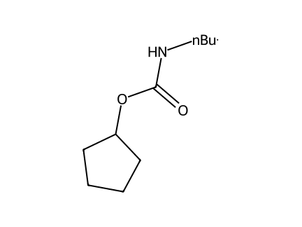 CCC[CH]NC(=O)OC1CCCC1